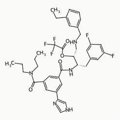 CCCN(CCC)C(=O)c1cc(C(=O)N[C@@H](Cc2cc(F)cc(F)c2)[C@@H](CNCc2cccc(CC)c2)OC(=O)C(F)(F)F)cc(-c2c[nH]cn2)c1